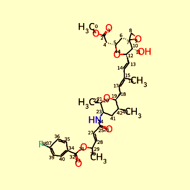 COC(=O)C[C@@H]1C[C@@]2(CO2)[C@H](O)[C@@H](/C=C/C(C)=C/C[C@@H]2O[C@H](C)[C@H](NC(=O)C=CC(C)OC(=O)c3ccc(F)cc3)C[C@@H]2C)O1